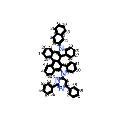 c1ccc(-c2cc(-n3c4ccccc4c4c5c(c6ccccc6c6c5c5ccccc5n6-c5ccc6ccccc6c5)c5ccccc5c43)nc(-c3ccccc3)n2)cc1